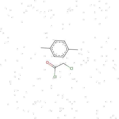 Cc1ccc(C)cc1.O=C(Cl)CCl